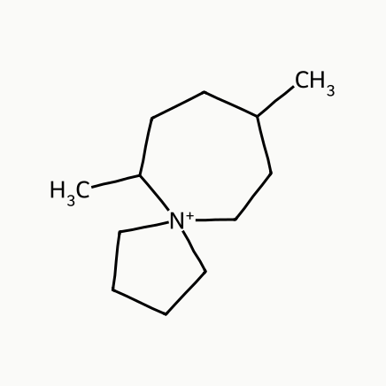 CC1CCC(C)[N+]2(CCCC2)CC1